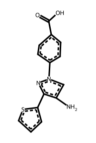 Nc1cn(-c2ccc(C(=O)O)cc2)nc1-c1cccs1